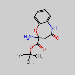 CC(C)(C)OC(=O)C1(N)CC(=O)Nc2ccccc2O1